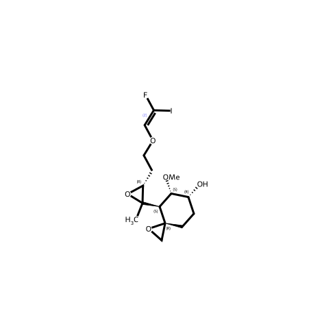 CO[C@@H]1[C@H](O)CC[C@]2(CO2)[C@H]1C1(C)O[C@@H]1CCO/C=C(/F)I